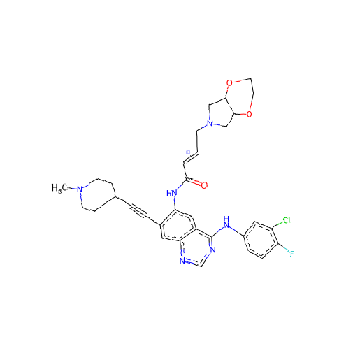 CN1CCC(C#Cc2cc3ncnc(Nc4ccc(F)c(Cl)c4)c3cc2NC(=O)/C=C/CN2CC3OCCOC3C2)CC1